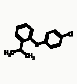 CC(C)c1ccccc1Sc1ccc(Cl)cc1